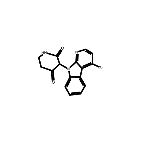 O=C1CCNC(=O)C1n1c2ccccc2c2c(Br)ccnc21